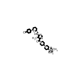 Cc1c(NC[C@H]2CCC[C@@H](c3ccc(Cl)cc3)O2)ncnc1C(=O)N1CCC(N2CCC(N(C)S(C)(=O)=O)CC2)CC1